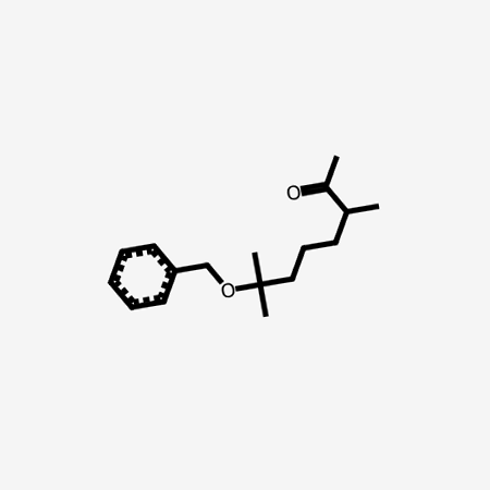 CC(=O)C(C)CCCC(C)(C)OCc1ccccc1